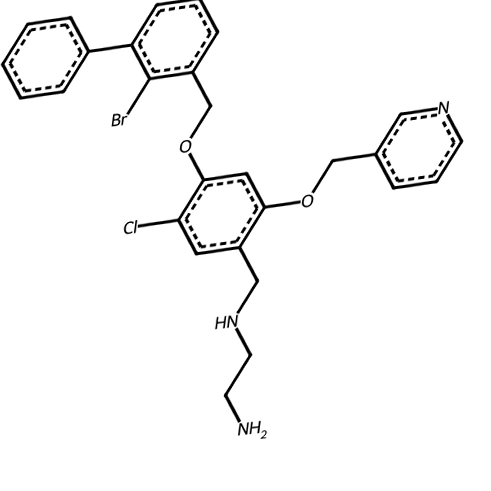 NCCNCc1cc(Cl)c(OCc2cccc(-c3ccccc3)c2Br)cc1OCc1cccnc1